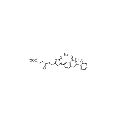 O=C([O-])CCC(=O)OCC1CN(c2ccc3cc(-c4ccccc4C(F)(F)F)[nH]c(=O)c3c2)C(=O)O1.[Na+]